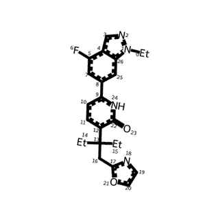 CCn1ncc2c(F)cc(-c3ccc(C(CC)(CC)Cc4ncco4)c(=O)[nH]3)cc21